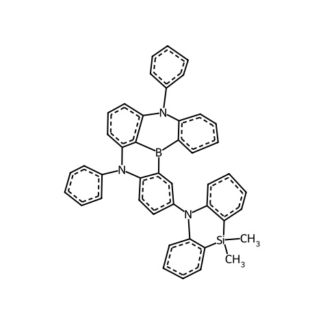 C[Si]1(C)c2ccccc2N(c2ccc3c(c2)B2c4ccccc4N(c4ccccc4)c4cccc(c42)N3c2ccccc2)c2ccccc21